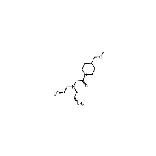 C=CCN(CC=C)CC(=O)N1CCC(COI)CC1